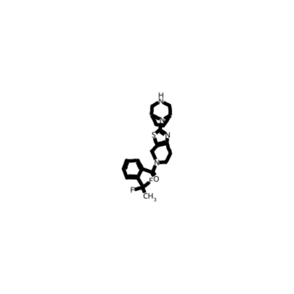 CC(F)(F)c1ccccc1C(=O)N1CCc2nc(N3C4CCC3CNC4)sc2C1